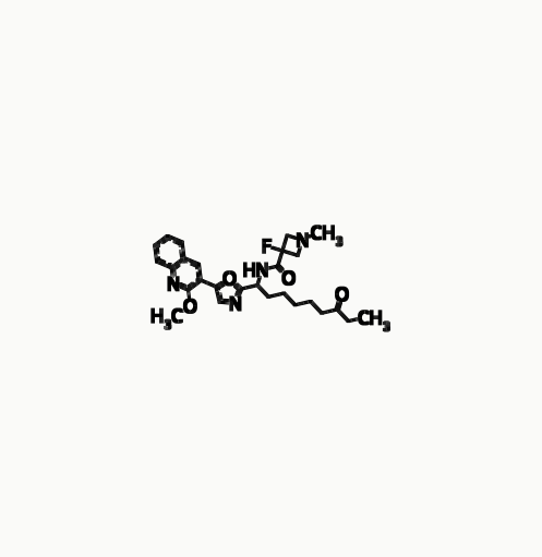 CCC(=O)CCCCCC(NC(=O)C1(F)CN(C)C1)c1ncc(-c2cc3ccccc3nc2OC)o1